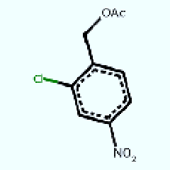 CC(=O)OCc1ccc([N+](=O)[O-])cc1Cl